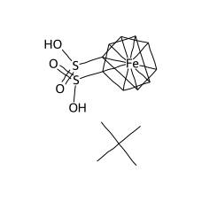 CC(C)(C)C.O=S(O)[C]12[CH]3[CH]4[CH]5[CH]1[Fe]45321678[CH]2[CH]1[CH]6[C]7(S(=O)O)[CH]28